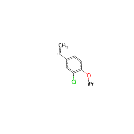 C=[C]c1ccc(OC(C)C)c(Cl)c1